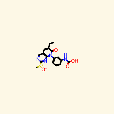 CCc1cc2cnc([S+](C)[O-])nc2n(-c2cccc(NC(=O)O)c2)c1=O